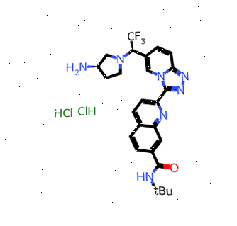 CC(C)(C)NC(=O)c1ccc2ccc(-c3nnc4ccc([C@@H](N5CC[C@@H](N)C5)C(F)(F)F)cn34)nc2c1.Cl.Cl